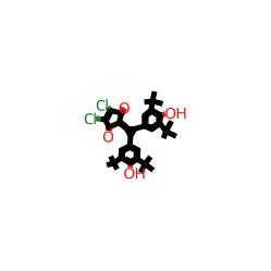 CC(C)(C)c1cc(C2=C(c3cc(C(C)(C)C)c(O)c(C(C)(C)C)c3)C2=C2C(=O)C(Cl)=C(Cl)C2=O)cc(C(C)(C)C)c1O